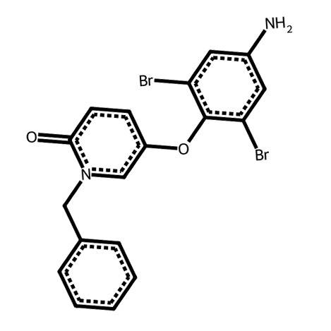 Nc1cc(Br)c(Oc2ccc(=O)n(Cc3ccccc3)c2)c(Br)c1